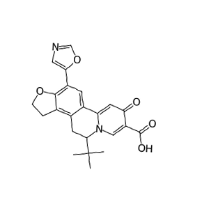 CC(C)(C)C1Cc2c(cc(-c3cnco3)c3c2CCO3)-c2cc(=O)c(C(=O)O)cn21